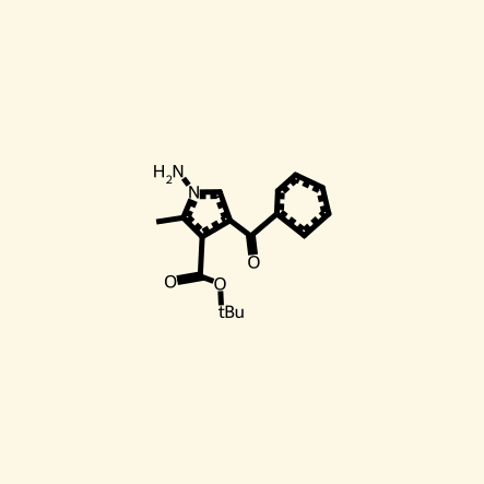 Cc1c(C(=O)OC(C)(C)C)c(C(=O)c2ccccc2)cn1N